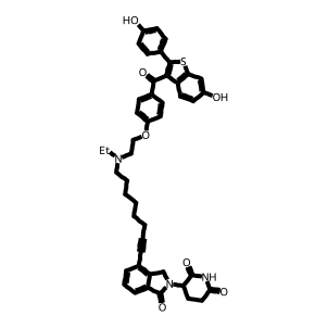 CCN(CCCCCCC#Cc1cccc2c1CN(C1CCC(=O)NC1=O)C2=O)CCOc1ccc(C(=O)c2c(-c3ccc(O)cc3)sc3cc(O)ccc23)cc1